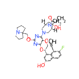 C#Cc1c(F)ccc2cc(O)cc(C3COc4c(nc(OCC56CCCN5CCC6)nc4N4C[C@@H]5C[C@](C)(O)[C@H](C4)N5C(=O)C=C)O3)c12